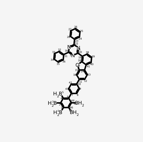 Bc1c(B)c(B)c(-c2ccc(-c3ccc4c(c3)oc3c(-c5nc(-c6ccccc6)nc(-c6ccccc6)n5)cccc34)cc2)c(B)c1B